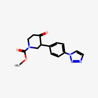 CCCCOC(=O)N1CCC(=O)C(c2ccc(-n3ccnn3)cc2)C1